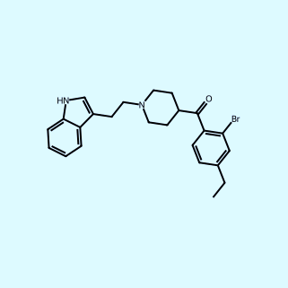 CCc1ccc(C(=O)C2CCN(CCc3c[nH]c4ccccc34)CC2)c(Br)c1